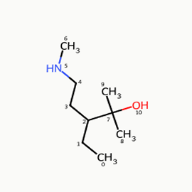 CCC(CCNC)C(C)(C)O